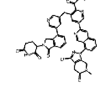 CCc1nn(-c2cccc3cc(-c4cnc(C(N)=O)c(Cc5cncc(-c6cccc7c6CN(C6CCC(=O)NC6=O)C7=O)c5)c4)ncc23)c2c1CC(=O)N(C)C2